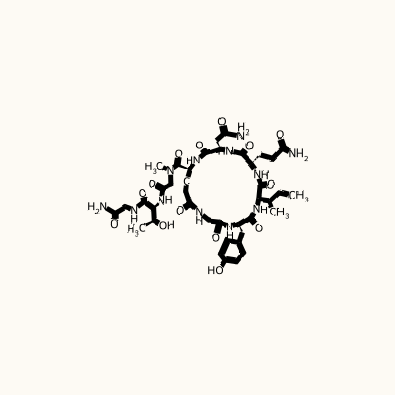 CCC(C)C1NC(=O)[C@H](Cc2ccc(O)cc2)NC(=O)CNC(=O)CC[C@@H](C(=O)N(C)CC(=O)N[C@H](C(=O)NCC(N)=O)[C@H](C)O)NC(=O)[C@H](CC(N)=O)NC(=O)[C@H](CCC(N)=O)NC1=O